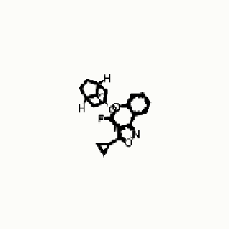 O=C1[C@@H]2CC[C@H]1C[C@@H](OCc1c(-c3ccccc3OC(F)F)noc1C1CC1)C2